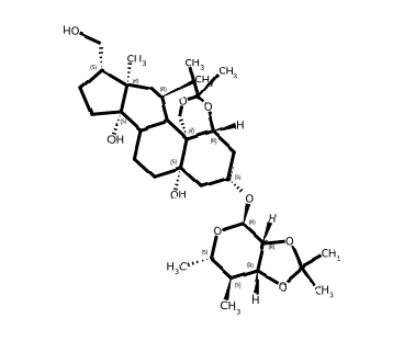 C[C@@H]1[C@H]2OC(C)(C)O[C@H]2[C@H](O[C@H]2C[C@H]3OC(C)(C)OC[C@]34C3C(CC[C@]4(O)C2)[C@@]2(O)CC[C@H](CO)[C@@]2(C)C[C@H]3C)O[C@H]1C